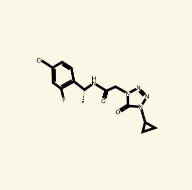 C[C@@H](NC(=O)Cn1nnn(C2CC2)c1=O)c1ccc(Cl)cc1F